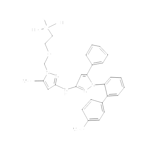 COc1ccc(-c2ccccc2-n2nc(Nc3cc(OC)n(COCC[Si](C)(C)C)n3)cc2-c2ccccc2)cc1